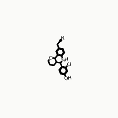 N#CCc1ccc2c(c1)C1OCCCC1C(c1ccc(O)cc1Cl)N2